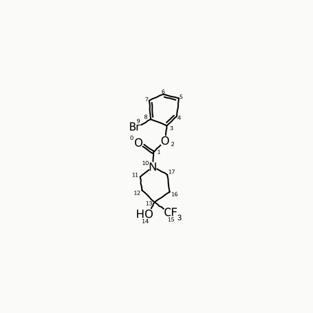 O=C(Oc1ccccc1Br)N1CCC(O)(C(F)(F)F)CC1